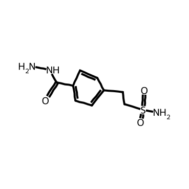 NNC(=O)c1ccc(CCS(N)(=O)=O)cc1